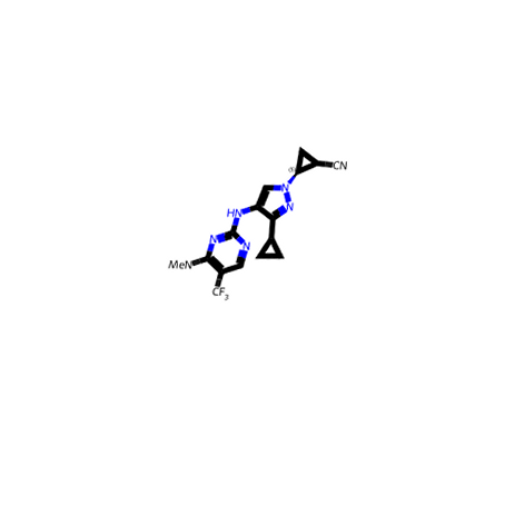 CNc1nc(Nc2cn([C@H]3CC3C#N)nc2C2CC2)ncc1C(F)(F)F